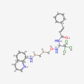 O=C(C=Cc1ccccc1)NC(NOCSCSNc1cccc2cccnc12)C(Cl)(Cl)Cl